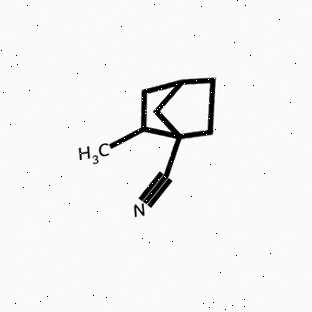 CC1CC2CCC1(C#N)C2